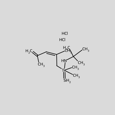 C=C(C)C=C(C)[CH2][Ti]([CH3])([CH3])(=[SiH2])[NH]C(C)(C)C.Cl.Cl